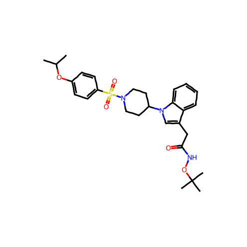 CC(C)Oc1ccc(S(=O)(=O)N2CCC(n3cc(CC(=O)NOC(C)(C)C)c4ccccc43)CC2)cc1